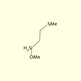 CO[SiH2]CCSC